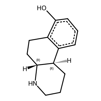 Oc1cccc2c1CC[C@H]1NCCC[C@H]21